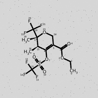 CCOC(=O)C1=C(OS(=O)(=O)C(F)(F)F)[C@@H](C)[C@](C)(C(F)(F)F)OC1